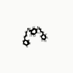 C(/C=C/c1ccccc1)=N/c1cccc(/N=C\C=C\c2ccccc2)c1